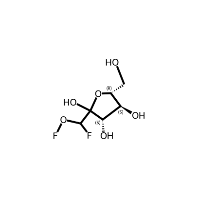 OC[C@H]1OC(O)(C(F)OF)[C@@H](O)[C@@H]1O